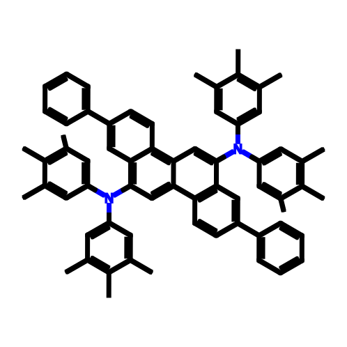 Cc1cc(N(c2cc(C)c(C)c(C)c2)c2cc3c4ccc(-c5ccccc5)cc4c(N(c4cc(C)c(C)c(C)c4)c4cc(C)c(C)c(C)c4)cc3c3ccc(-c4ccccc4)cc23)cc(C)c1C